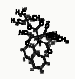 C[C@H](N)C(=O)N(c1cccc2ccccc12)[C@@](C(N)=O)(C(=O)O)C(=O)OC(C)(C)C